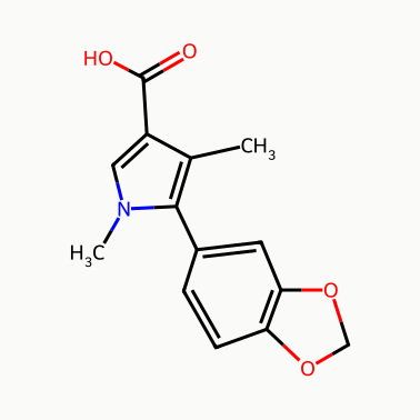 Cc1c(C(=O)O)cn(C)c1-c1ccc2c(c1)OCO2